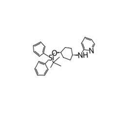 CC(C)(C)[Si](O[C@H]1CC[C@@H](Nc2ccccn2)CC1)(c1ccccc1)c1ccccc1